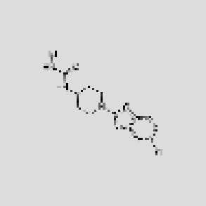 CCNC(=O)NC1CCN(c2nc3cc(Cl)ccc3o2)CC1